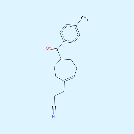 Cc1ccc(C(=O)C2CCC=C(CCC#N)CC2)cc1